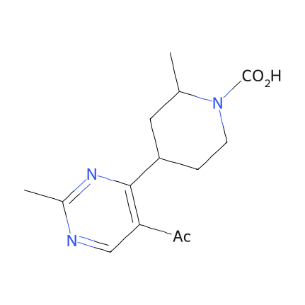 CC(=O)c1cnc(C)nc1C1CCN(C(=O)O)C(C)C1